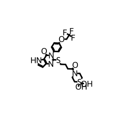 O=C(CCCSc1nc2cc[nH]c2c(=O)n1-c1ccc(OCC(F)(F)F)cc1)N1CCS(O)(O)CC1